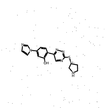 Oc1cc(-n2ccnc2)ccc1-c1cnc(S[C@H]2CCNC2)nn1